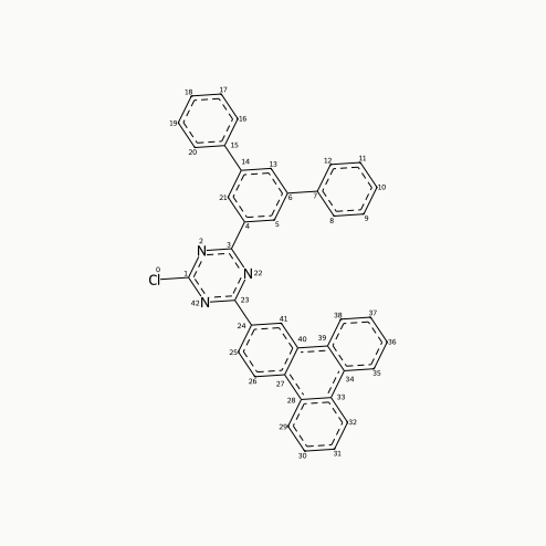 Clc1nc(-c2cc(-c3ccccc3)cc(-c3ccccc3)c2)nc(-c2ccc3c4ccccc4c4ccccc4c3c2)n1